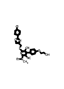 [C-]#[N+]c1c(N(C)CC)nc(SCc2coc(-c3ccc(Cl)cc3)n2)c(C#N)c1-c1ccc(OCCO)cc1